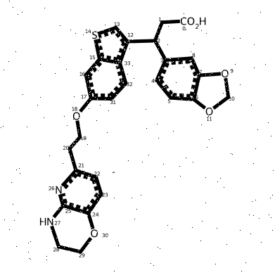 O=C(O)CC(c1ccc2c(c1)OCO2)c1csc2cc(OCCc3ccc4c(n3)NCCO4)ccc12